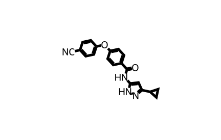 N#Cc1ccc(Oc2ccc(C(=O)Nc3cc(C4CC4)n[nH]3)cc2)cc1